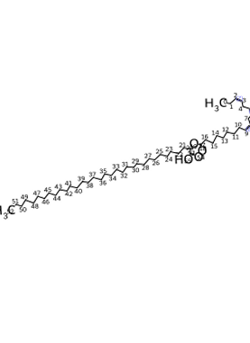 CC/C=C\C/C=C\C/C=C\CCCCCCCC(=O)OC(CCCCCCCCCCCCCCCCCCCCCCCCCCCCCCCC)C(=O)O